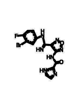 N=C(Nc1ccc(F)c(Br)c1)c1nonc1NC(=O)c1ncc[nH]1